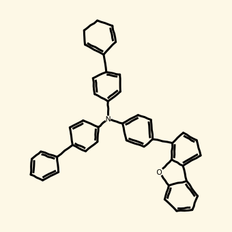 C1=CC(c2ccc(N(c3ccc(-c4ccccc4)cc3)c3ccc(-c4cccc5c4oc4ccccc45)cc3)cc2)=CCC1